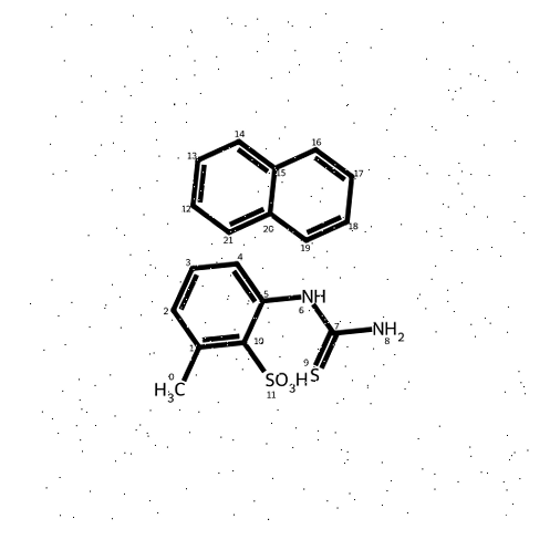 Cc1cccc(NC(N)=S)c1S(=O)(=O)O.c1ccc2ccccc2c1